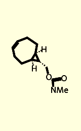 CNC(=O)OC[C@H]1[C@@H]2CC/C=C\CC[C@@H]21